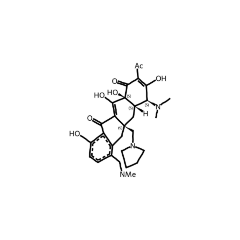 CNCc1ccc(O)c2c1C[C@@]1(CN3CCCC3)C[C@H]3[C@H](N(C)C)C(O)=C(C(C)=O)C(=O)[C@@]3(O)C(O)=C1C2=O